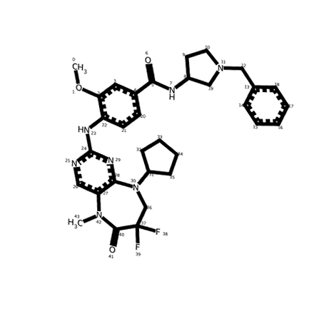 COc1cc(C(=O)NC2CCN(Cc3ccccc3)C2)ccc1Nc1ncc2c(n1)N(C1CCCC1)CC(F)(F)C(=O)N2C